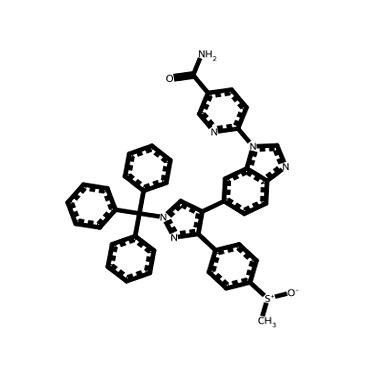 C[S+]([O-])c1ccc(-c2nn(C(c3ccccc3)(c3ccccc3)c3ccccc3)cc2-c2ccc3ncn(-c4ccc(C(N)=O)cn4)c3c2)cc1